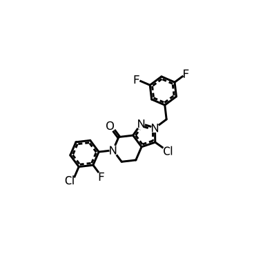 O=C1c2nn(Cc3cc(F)cc(F)c3)c(Cl)c2CCN1c1cccc(Cl)c1F